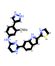 COc1cc(Nc2ccnc(-c3ccc4cc(-c5nccs5)[nH]c4c3)n2)ccc1-c1cn[nH]c1